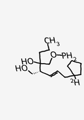 [2H]C1(C/C=C/[C@H](CO)C(O)(CCC)COP)CCCC1